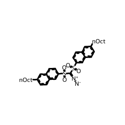 CCCCCCCCc1ccc2cc(S(=O)(=O)C(=[N+]=[N-])S(=O)(=O)c3ccc4cc(CCCCCCCC)ccc4c3)ccc2c1